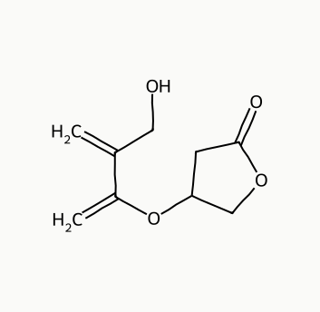 C=C(CO)C(=C)OC1COC(=O)C1